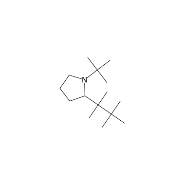 CC(C)(C)N1CCCC1C(C)(C)C(C)(C)C